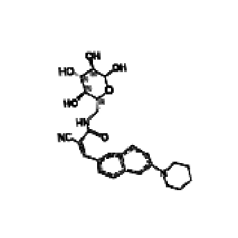 N#CC(=Cc1ccc2cc(N3CCCCC3)ccc2c1)C(=O)NC[C@H]1OC(O)[C@H](O)[C@@H](O)[C@@H]1O